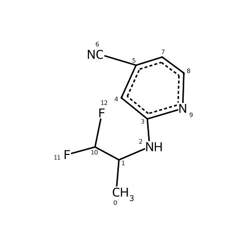 CC(Nc1cc(C#N)ccn1)C(F)F